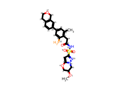 COC1COc2cc(S(=O)(=O)NC(=O)Cc3c(C)cc(-c4ccc5c(c4)COCC5)cc3P)nn2C1